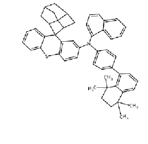 CC1(C)CCC(C)(C)c2c(-c3ccc(N(c4ccc5c(c4)C4(c6ccccc6S5)C5CC6CC7CC4C75C6)c4cccc5ccccc45)cc3)cccc21